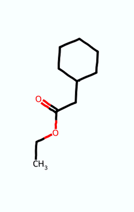 CCOC(=O)C[C]1CCCCC1